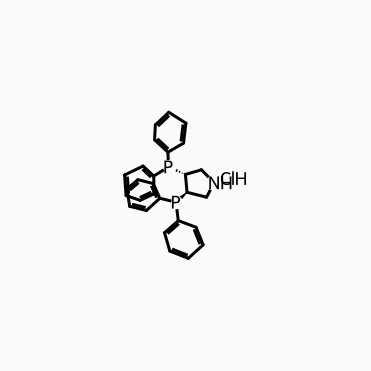 Cl.c1ccc(P(c2ccccc2)[C@@H]2CNC[C@H]2P(c2ccccc2)c2ccccc2)cc1